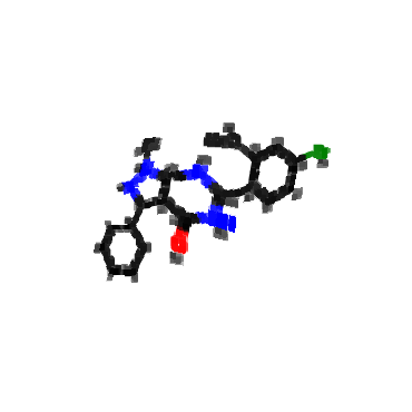 CCn1nc(-c2ccccc2)c2c(=O)[nH]c(-c3ccc(Br)cc3OC)nc21